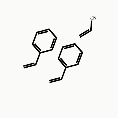 C=CC#N.C=Cc1ccccc1.C=Cc1ccccc1